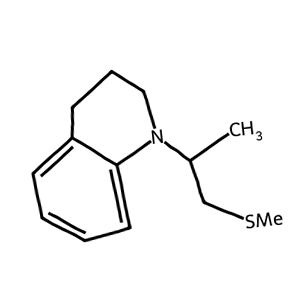 CSCC(C)N1CCCc2ccccc21